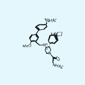 COc1ccc(-c2ccc(NC(C)=O)cc2)cc1CN[C@H]1CCN(C(=O)CNC(C)=O)C[C@H]1c1ccccc1.Cl